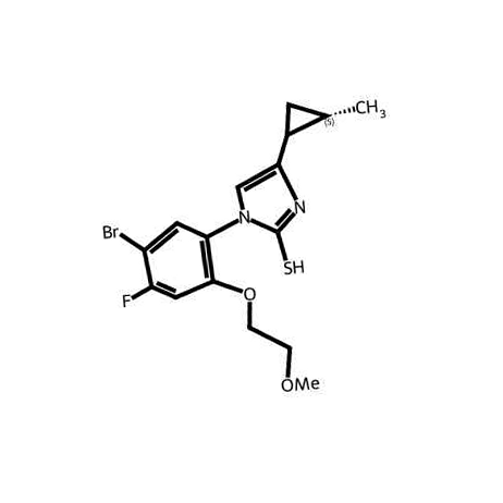 COCCOc1cc(F)c(Br)cc1-n1cc(C2C[C@@H]2C)nc1S